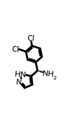 N[C@H](c1ccc(Cl)c(Cl)c1)c1ccn[nH]1